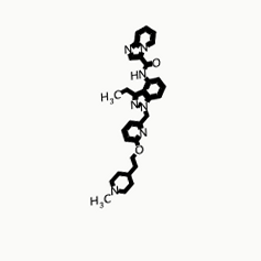 CCc1nn(Cc2cccc(OCCC3CCN(C)CC3)n2)c2cccc(NC(=O)c3cnc4ccccn34)c12